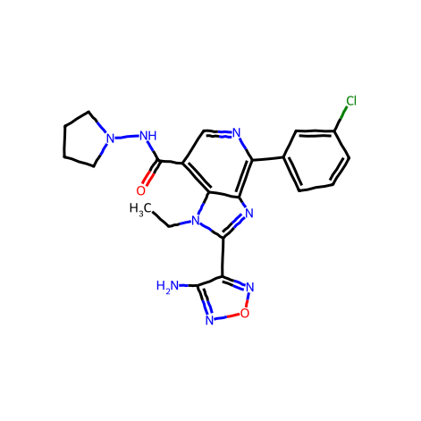 CCn1c(-c2nonc2N)nc2c(-c3cccc(Cl)c3)ncc(C(=O)NN3CCCC3)c21